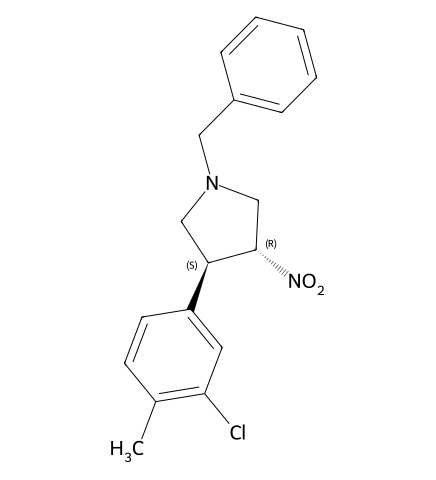 Cc1ccc([C@H]2CN(Cc3ccccc3)C[C@@H]2[N+](=O)[O-])cc1Cl